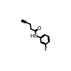 C#CCCC(=O)Nc1cccc(F)c1